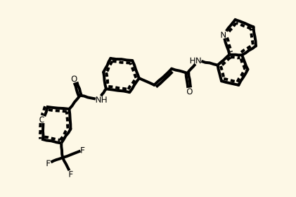 O=C(C=Cc1cccc(NC(=O)c2cccc(C(F)(F)F)c2)c1)Nc1cccc2cccnc12